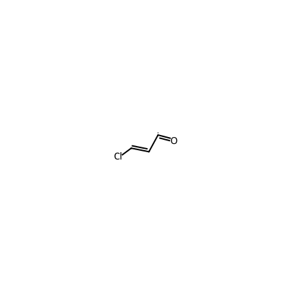 O=[C]C=CCl